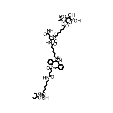 CCC(CC)OP(=O)(O)OCCCCCCNC(=O)CCC(=O)N1Cc2ccccc2-c2nnn(CCCCCC(=O)NC(CCC(N)=O)C(=O)NCCCCCCO[C@@H]3O[C@H](CO)[C@H](O)[C@H](O)[C@H]3NC(C)=O)c2-c2ccccc21